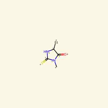 CCC1NC(=S)N(C)C1=O